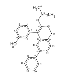 CN(C)CC1=C(c2cccc(O)c2)c2cc(-c3ccccc3)ccc2CC1